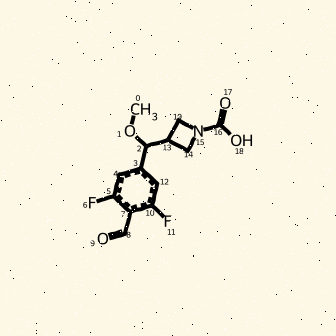 COC(c1cc(F)c(C=O)c(F)c1)C1CN(C(=O)O)C1